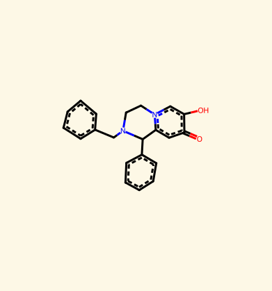 O=c1cc2n(cc1O)CCN(Cc1ccccc1)C2c1ccccc1